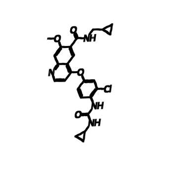 COc1cc2nccc(Oc3ccc(NC(=O)NC4CC4)c(Cl)c3)c2cc1C(=O)NCC1CC1